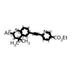 CCOC(=O)c1ccc(C#Cc2ccc3c(c2)C(C)(C)CC(C(C)=O)S3)nc1